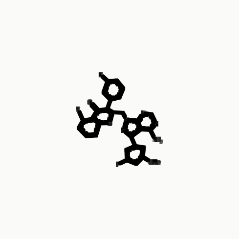 COc1cc(F)cc(-c2nn(Cc3oc4cccc(F)c4c(=O)c3-c3cccc(F)c3)c3ncnc(N)c23)c1